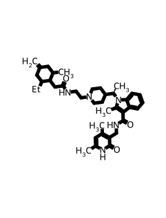 C=C1CC(C)C(CC(=O)NCCN2CCC([C@H](C)n3c(C)c(C(=O)NCc4c(C)cc(C)[nH]c4=O)c4ccccc43)CC2)C(CC)C1